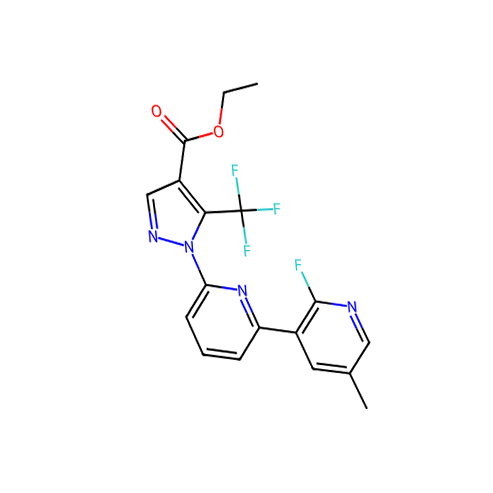 CCOC(=O)c1cnn(-c2cccc(-c3cc(C)cnc3F)n2)c1C(F)(F)F